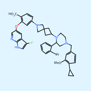 COc1cc(CN2CCN(C3CC4(C3)CN(c3ccc(C(=O)O)c(Oc5cnc6[nH]cc(F)c6c5)c3)C4)C(c3ccccc3C(C)C)C2)ccc1C1CC1